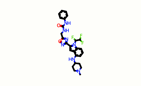 CN1CCC(Nc2cccc3c2cc(-c2noc(CNC(=O)Nc4ccccc4)n2)n3C(F)C(F)F)CC1